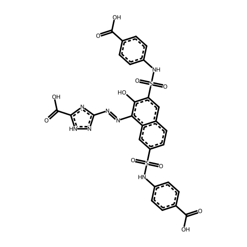 O=C(O)c1ccc(NS(=O)(=O)c2ccc3cc(S(=O)(=O)Nc4ccc(C(=O)O)cc4)c(O)c(/N=N/c4n[nH]c(C(=O)O)n4)c3c2)cc1